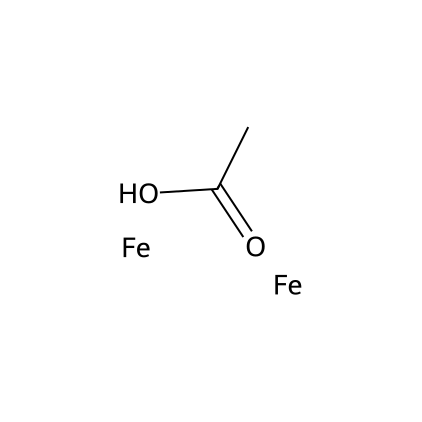 CC(=O)O.[Fe].[Fe]